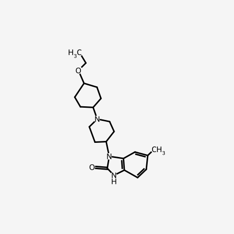 CCOC1CCC(N2CCC(n3c(=O)[nH]c4ccc(C)cc43)CC2)CC1